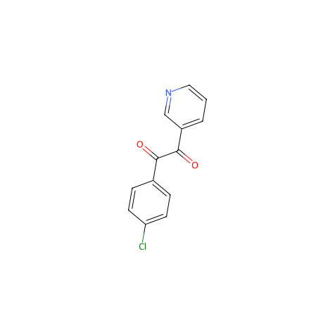 O=C(C(=O)c1cccnc1)c1ccc(Cl)cc1